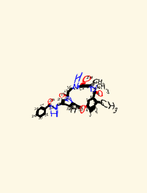 CC1C=CC2=CC1C(=O)N(C)[C@@H](C)C(=O)NCCC(=O)N1C[C@H](NC(=O)c3ccccc3)C[C@H]1CO2